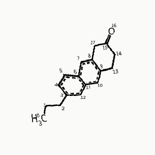 CCCc1ccc2cc3c(cc2c1)CCC(=O)C3